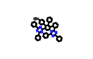 CC(C)(C)c1ccc(-c2c(-c3nc(-c4ccccc4)nc(-c4ccccc4)n3)ccc(-c3ccccc3-c3nc(-c4ccccc4)nc(-c4ccccc4)n3)c2-c2ccccc2)cc1